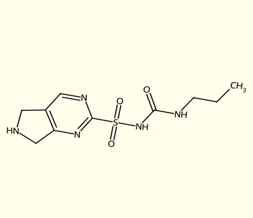 CCCNC(=O)NS(=O)(=O)c1ncc2c(n1)CNC2